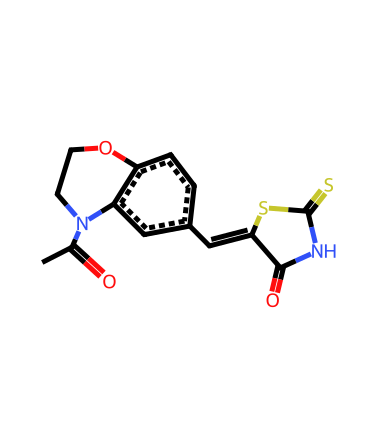 CC(=O)N1CCOc2ccc(/C=C3\SC(=S)NC3=O)cc21